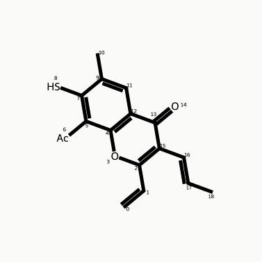 C=Cc1oc2c(C(C)=O)c(S)c(C)cc2c(=O)c1/C=C/C